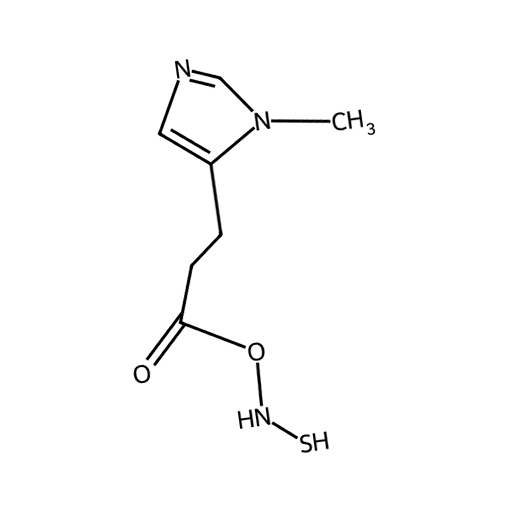 Cn1cncc1CCC(=O)ONS